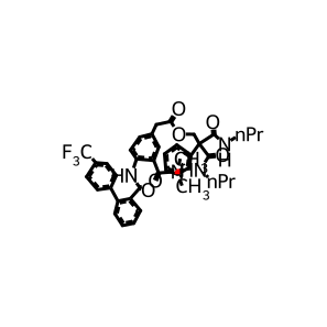 CCCNC(=O)C(COC(=O)Cc1ccc(NC(=O)c2ccccc2-c2ccc(C(F)(F)F)cc2)c(C(=O)N(C)C)c1)(C(=O)NCCC)c1ccccc1